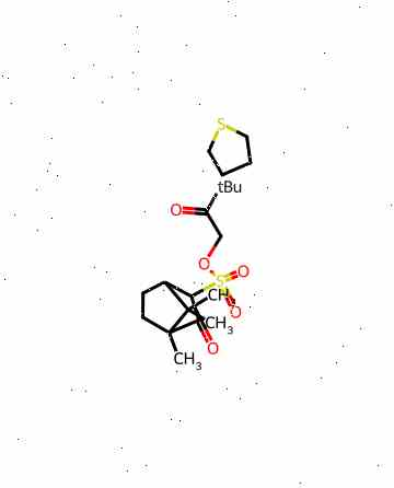 C1CCSC1.CC(C)(C)C(=O)COS(=O)(=O)C1C(=O)C2(C)CCC1C2(C)C